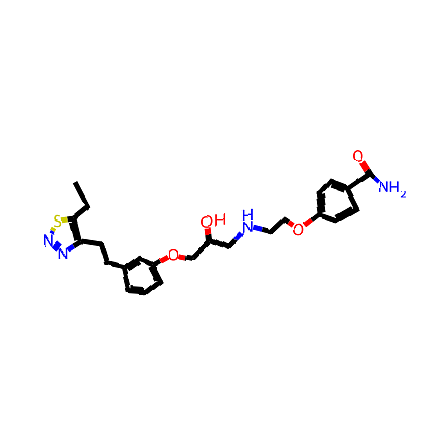 CCc1snnc1CCc1cccc(OCC(O)CNCCOc2ccc(C(N)=O)cc2)c1